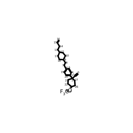 C#CC1(c2ccc(CCC3CCC(CCC=C)CC3)cc2)CCC(OC(F)(F)F)CC1